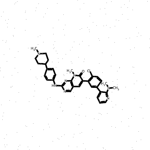 CN1CCC(c2ccc(Nc3ncc4cc(-c5cc(-c6cccnc6N(C)C)ccc5Cl)c(=O)n(C)c4n3)cc2)CC1